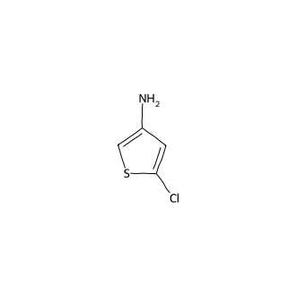 Nc1csc(Cl)c1